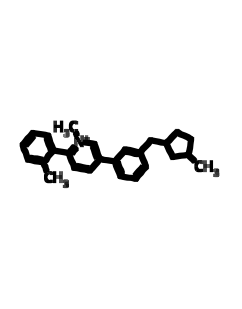 Cc1ccccc1-c1ccc(-c2cccc(CC3CCC(C)C3)c2)c[n+]1C